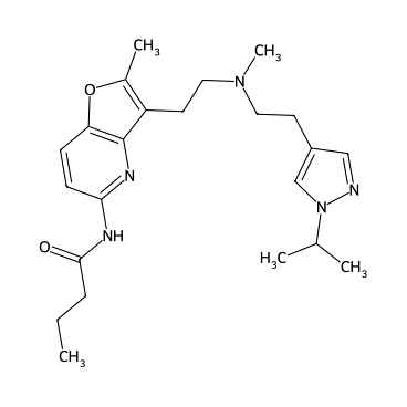 CCCC(=O)Nc1ccc2oc(C)c(CCN(C)CCc3cnn(C(C)C)c3)c2n1